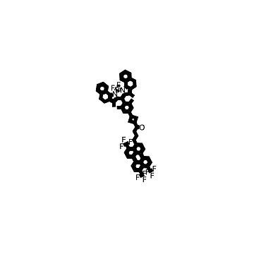 CC1=C2CCc3ccccc3C2=[N+]2C1=C(c1c(C)cc(C3CC(C(=O)CCCc4ccc5c6ccc(C(F)(F)F)c7c(C(F)(F)F)ccc(c8ccc(C(F)(F)F)c4c58)c76)C3)cc1C)c1c(C)c3c(n1[B-]2(F)F)-c1ccccc1CC3